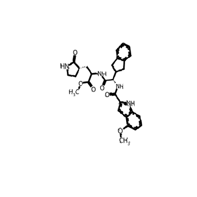 COC(=O)C(C[C@@H]1CCNC1=O)NC(=O)[C@@H](NC(=O)c1cc2c(OC)cccc2[nH]1)C1Cc2ccccc2C1